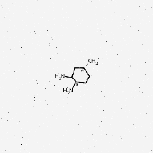 C[C@@H]1CC[C@@H](N)C(N)C1